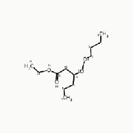 CCCCOOC(CCC)CC(=O)OCC